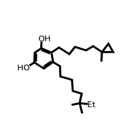 CCC(C)(C)CCCCCc1cc(O)cc(O)c1CCCCCC1(C)CC1